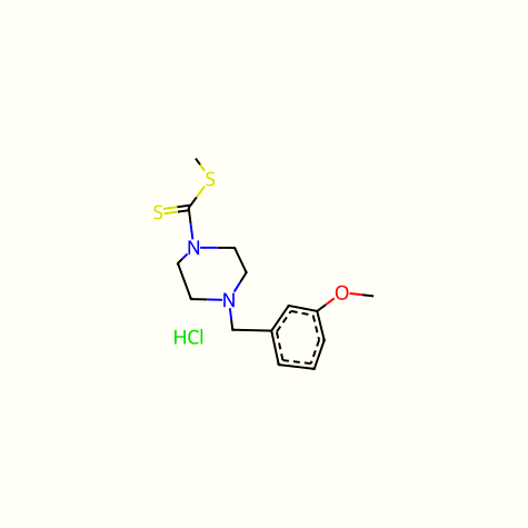 COc1cccc(CN2CCN(C(=S)SC)CC2)c1.Cl